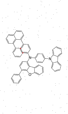 c1ccc(-c2ccc(N(c3ccc(-c4cccc5cccc(-c6ccccc6)c45)cc3)c3ccc(-n4c5ccccc5c5ccccc54)cc3)c3c2oc2ccccc23)cc1